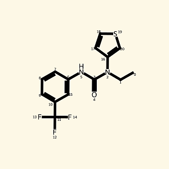 CCN(C(=O)Nc1cccc(C(F)(F)F)c1)c1ccsc1